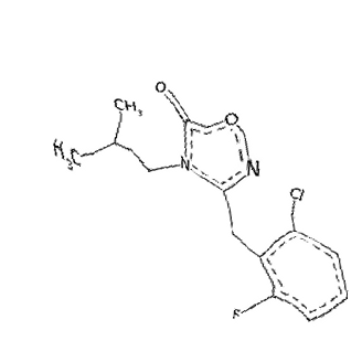 CC(C)Cn1c(Cc2c(F)cccc2Cl)noc1=O